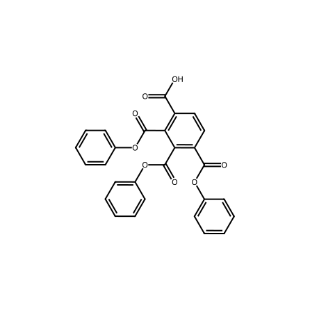 O=C(O)c1ccc(C(=O)Oc2ccccc2)c(C(=O)Oc2ccccc2)c1C(=O)Oc1ccccc1